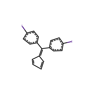 Ic1ccc(C(=C2[C]=CC=C2)c2ccc(I)cc2)cc1